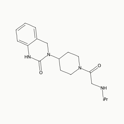 CC(C)NCC(=O)N1CCC(N2Cc3ccccc3NC2=O)CC1